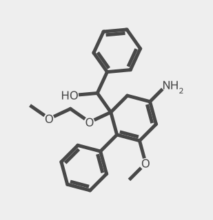 COCOC1(C(O)c2ccccc2)CC(N)=CC(OC)=C1c1ccccc1